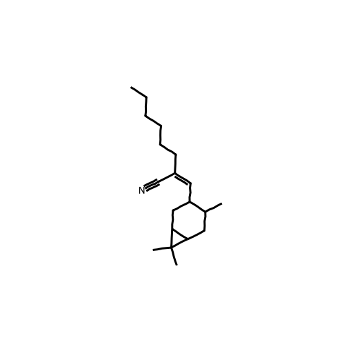 CCCCCCC(C#N)=CC1CC2C(CC1C)C2(C)C